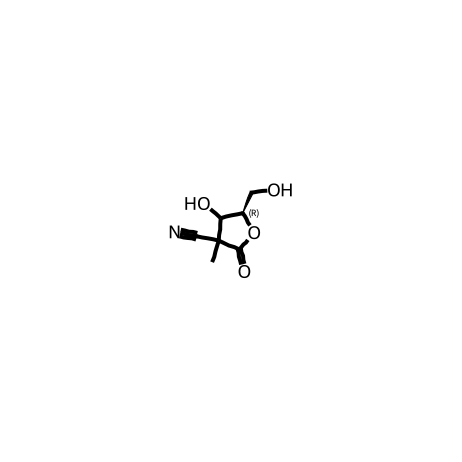 CC1(C#N)C(=O)O[C@H](CO)C1O